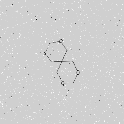 C1OCC2(CO1)COCSC2